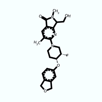 Cc1cc2c(nc1N1CC[C@@H](Oc3ccc4c(c3)COC4)[C@@H](F)C1)C(CO)N(C)C2=O